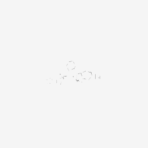 CC(C)(C)[S+]([O-])N=Cc1ccccc1-c1noc2cc(Br)ccc12